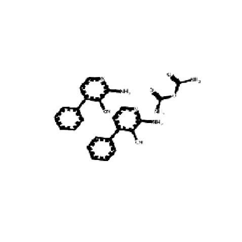 N#Cc1c(-c2ccccc2)ccnc1N.N#Cc1c(-c2ccccc2)ccnc1N.NC(=O)OC(N)=O